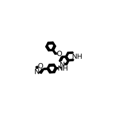 C1=C(OCc2ccccc2)C2=C(CNCC2)CN1Nc1ccc(-c2cnco2)cc1